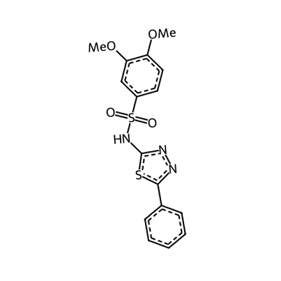 COc1ccc(S(=O)(=O)Nc2nnc(-c3ccccc3)s2)cc1OC